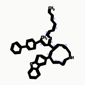 C=C/C=C/C=C\C=C/N=C(\C=C(/C)c1ccc(-c2ccccc2)cc1)C1=C/C=C\CN/C=C/C=C/C(c2ccc3oc4ccccc4c3c2)=C\1